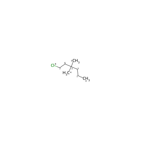 CCCC(C)(C)CCCl